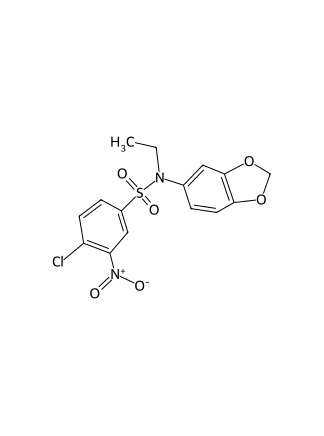 CCN(c1ccc2c(c1)OCO2)S(=O)(=O)c1ccc(Cl)c([N+](=O)[O-])c1